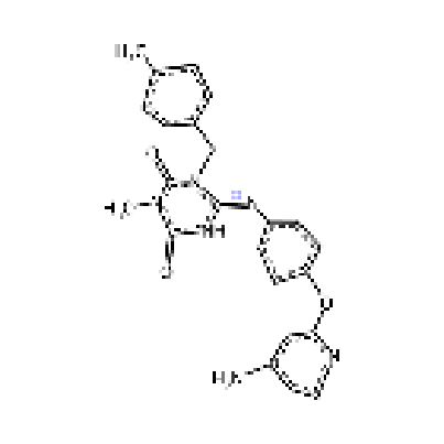 Cc1ccc(Cn2c(=O)n(C)c(=O)[nH]/c2=N\c2ccc(Oc3cc(N)ccn3)cc2)cc1